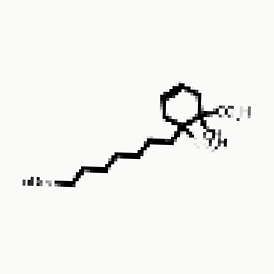 CCCCCCCCCCCCCCCCCC1(C(=O)O)CC=CCC1(C)C(=O)O